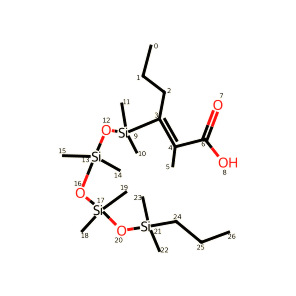 CCC/C(=C(/C)C(=O)O)[Si](C)(C)O[Si](C)(C)O[Si](C)(C)O[Si](C)(C)CCC